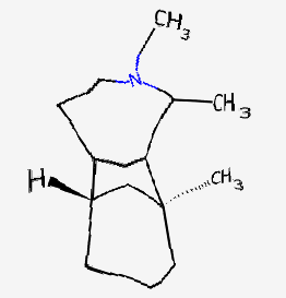 CC1C2C(CCN1C)[C@H]1CCC[C@@]2(C)C1